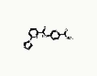 CNC(=O)c1ccc(NC(=O)c2cccc(-n3ccnc3)n2)cn1